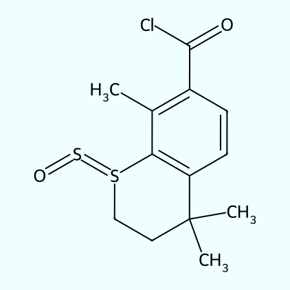 Cc1c(C(=O)Cl)ccc2c1S(=S=O)CCC2(C)C